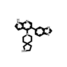 c1cc2c(N3CCC4(CCNC4)CC3)c(-c3ccc4scnc4c3)cnc2[nH]1